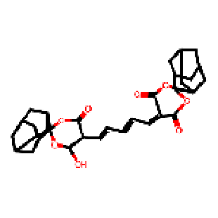 O=C1OC2(OC(=O)C1=CC=CC=CC1C(=O)OC3(OC1O)C1CC4CC(C1)CC3C4)C1CC3CC(C1)CC2C3